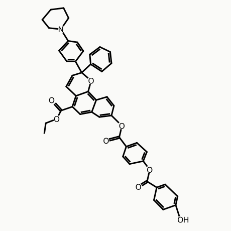 CCOC(=O)c1cc2cc(OC(=O)c3ccc(OC(=O)c4ccc(O)cc4)cc3)ccc2c2c1C=CC(c1ccccc1)(c1ccc(N3CCCCC3)cc1)O2